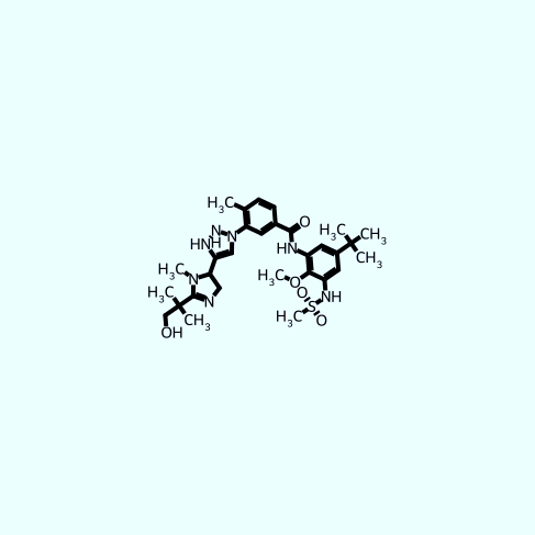 COc1c(NC(=O)c2ccc(C)c(N3C=C(C4CN=C(C(C)(C)CO)N4C)NN3)c2)cc(C(C)(C)C)cc1NS(C)(=O)=O